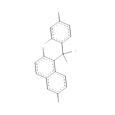 CC1(C)c2ccc(Br)cc2Oc2ccc3cc(Br)ccc3c21